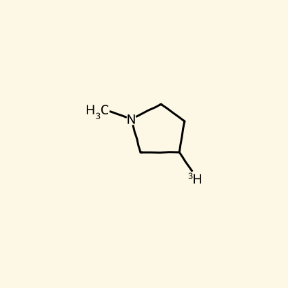 [3H]C1CCN(C)C1